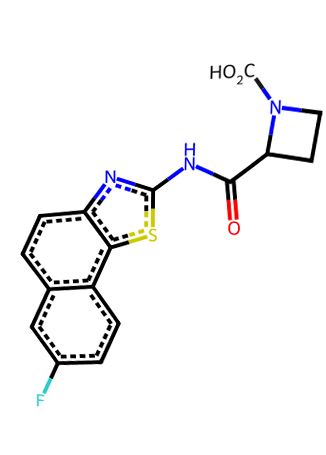 O=C(Nc1nc2ccc3cc(F)ccc3c2s1)C1CCN1C(=O)O